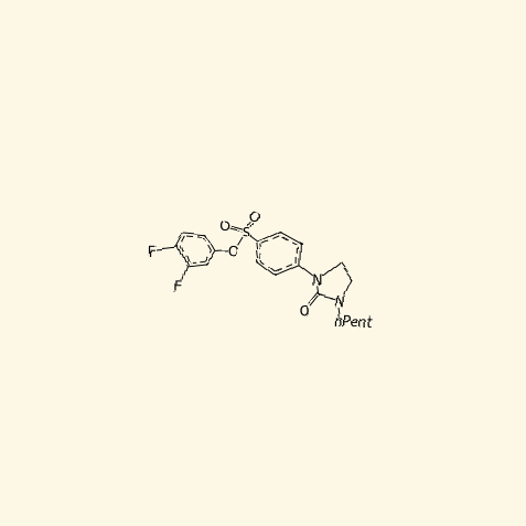 CCCCCN1CCN(c2ccc(S(=O)(=O)Oc3ccc(F)c(F)c3)cc2)C1=O